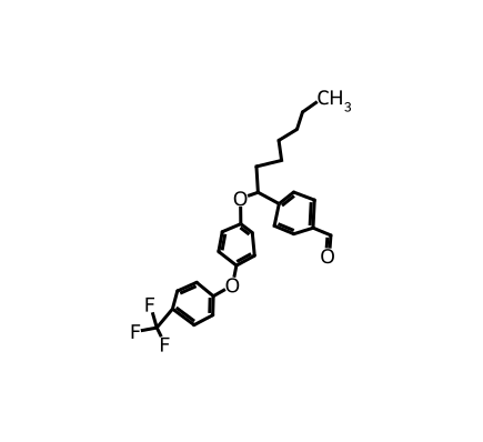 CCCCCCC(Oc1ccc(Oc2ccc(C(F)(F)F)cc2)cc1)c1ccc(C=O)cc1